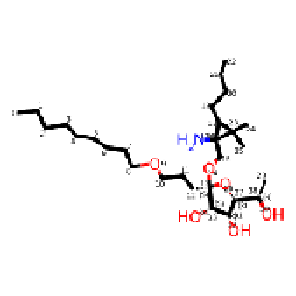 CCCCCCCCCOCCC[C@]1(OCC2(N)C(CCCC)C2(C)C)O[C@H]([C@@H](C)O)[C@H](O)[C@@H]1O